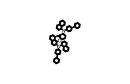 C1=CC23Oc4c(N(c5ccc(-c6ccccc6)cc5)c5cccc6ccccc56)ccc5cccc(c45)C2C3C(N(c2ccc(-c3ccccc3)cc2)c2cccc3ccccc23)=C1